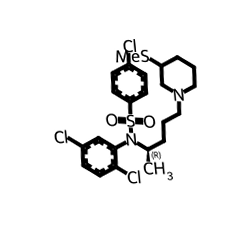 CSC1CCCN(CCC[C@@H](C)N(c2cc(Cl)ccc2Cl)S(=O)(=O)c2ccc(Cl)cc2)C1